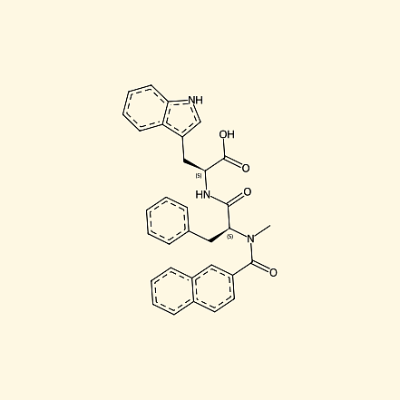 CN(C(=O)c1ccc2ccccc2c1)[C@@H](Cc1ccccc1)C(=O)N[C@@H](Cc1c[nH]c2ccccc12)C(=O)O